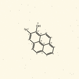 [2H]c1cc2ccc3cccc4ccc(c1O)c2c34